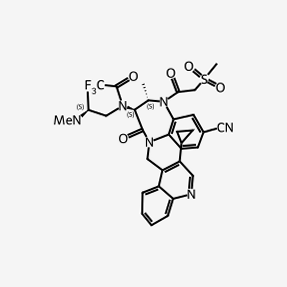 CN[C@@H](C)CN(C(=O)C(F)(F)F)[C@@H]1C(=O)N(Cc2c(C3CC3)cnc3ccccc23)c2ccc(C#N)cc2N(C(=O)CS(C)(=O)=O)[C@H]1C